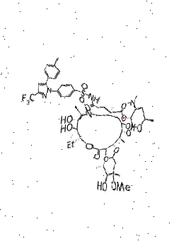 CC[C@H]1OC(=O)[C@H](C)[C@@H](O[C@H]2C[C@@](C)(OC)[C@@H](O)[C@H](C)O2)[C@H](C)[C@@H](O[C@@H]2O[C@H](C)C[C@H](N(C)C)[C@H]2OC(=O)CCC(=O)NS(=O)(=O)c2ccc(-n3nc(C(F)(F)F)cc3-c3ccc(C)cc3)cc2)[C@](C)(O)C[C@@H](C)CN(C)[C@H](C)[C@@H](O)[C@]1(C)O